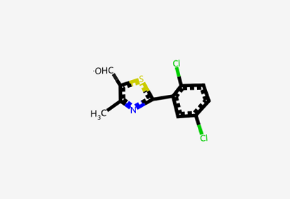 Cc1nc(-c2cc(Cl)ccc2Cl)sc1[C]=O